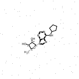 C[C@H]1O[C@@H](n2cnc3c(NC4CCCC4)ncnc32)[C@H](O)[C@@H]1O